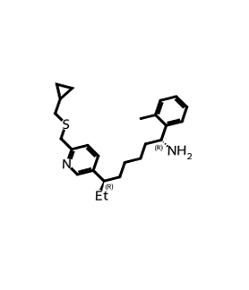 CC[C@H](CCCC[C@@H](N)c1ccccc1C)c1ccc(CSCC2CC2)nc1